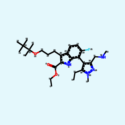 CCOC(=O)c1[nH]c2c(-c3c(CNC)nn(C)c3CC)c(F)ccc2c1CCCO[Si](C)(C)C(C)(C)C